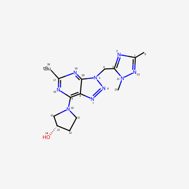 Cc1nc(Cn2nnc3c(N4CC[C@H](O)C4)nc(C(C)(C)C)nc32)n(C)n1